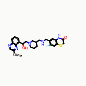 COc1cnc2cccc(C(O)CN3CCCC(CNCc4cc5c(cc4F)SCC(=O)N5)C3)c2n1